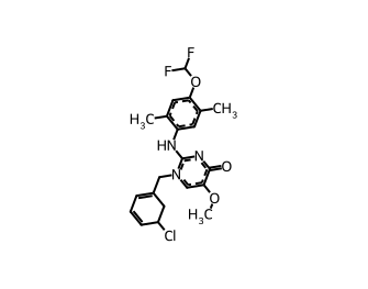 COc1cn(CC2=CC=CC(Cl)C2)c(Nc2cc(C)c(OC(F)F)cc2C)nc1=O